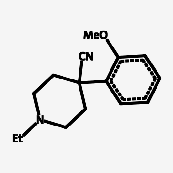 CCN1CCC(C#N)(c2ccccc2OC)CC1